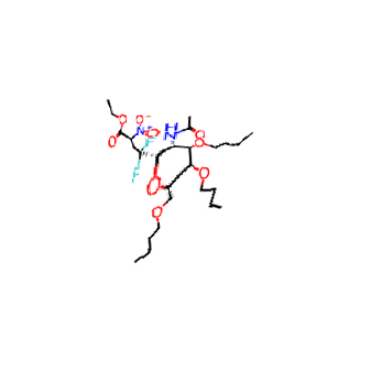 CCCCOC[C@H]1O[C@H](C(F)(F)CC(C(=O)OCC)[N+](=O)[O-])[C@H](NC(C)=O)[C@@H](OCCCC)[C@H]1OCCCC